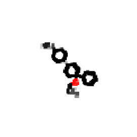 CCCC[C@H]1CC[C@H](C2=CCC(OCC(F)(F)F)(c3ccccc3)C=C2)CC1